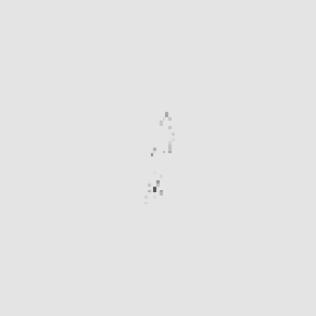 C=C(c1cn(C)c2ccc(-c3ccc4nc(NC(=O)C5CC5)sc4c3)cc12)N1CCN(Cc2cc(OC)c(OC)c(OC)c2)CC1